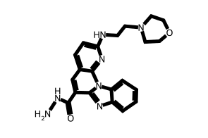 NNC(=O)c1cc2ccc(NCCN3CCOCC3)nc2n2c1nc1ccccc12